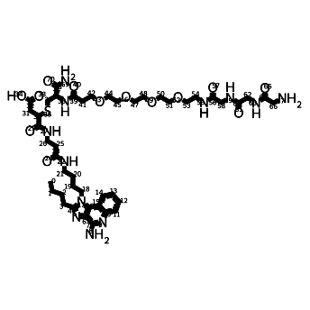 CCCCc1nc2c(N)nc3ccccc3c2n1CCCCNC(=O)CCNC(=O)C(CC(=O)O)SCC(NC(=O)CCOCCOCCOCCOCCNC(=O)CNC(=O)CNC(=O)CN)C(N)=O